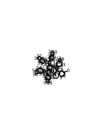 Cc1ccc2oc3c(c2c1)N(c1ccc2c(c1)CC2)c1cc(N(c2ccc4c(c2)CC4)c2ccc4c(c2)CC4)cc2c1B3c1cc3c(cc1N2c1ccc2c(c1)CC2)CC3